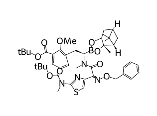 COc1c(C[C@@H](B2OC3C[C@H]4C[C@@H](C4(C)C)[C@]3(C)O2)N(C)C(=O)/C(=N\OCc2ccccc2)c2csc(N(C)C(=O)OC(C)(C)C)n2)cccc1C(=O)OC(C)(C)C